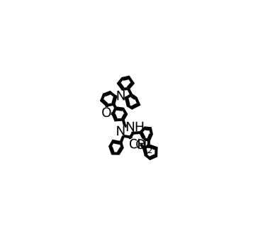 C=C1C(c2ccccc2)N=C(c2ccc3c(c2)oc2cccc(-n4c5ccccc5c5ccccc54)c23)NC1c1cccc2c1oc1ccccc12